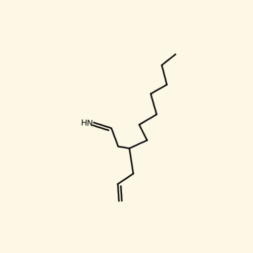 C=CCC(CC=N)CCCCCCC